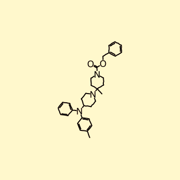 Cc1ccc(N(c2ccccc2)C2CCN(C3(C)CCN(C(=O)OCc4ccccc4)CC3)CC2)cc1